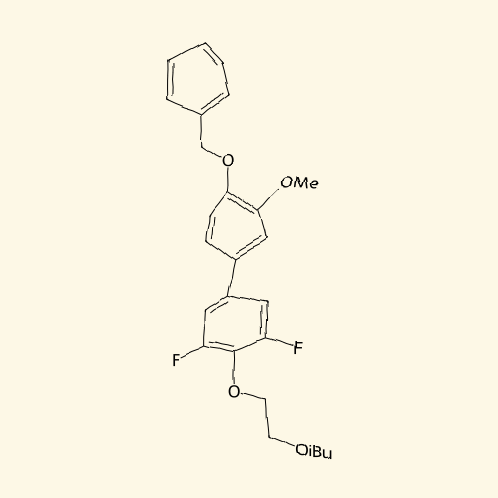 COc1cc(-c2cc(F)c(OCCOCC(C)C)c(F)c2)ccc1OCc1ccccc1